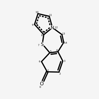 O=C1C=CC2=C(C1)Sc1cccn1C=C2